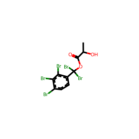 CC(O)C(=O)OC(Br)(Br)c1ccc(Br)c(Br)c1Br